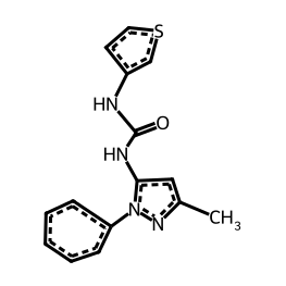 Cc1cc(NC(=O)Nc2ccsc2)n(-c2ccccc2)n1